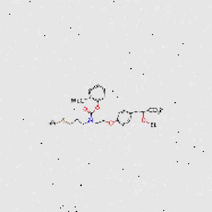 CCCSCCCN(CCOc1ccc(CC(OCC)C(=O)O)cc1)C(=O)Oc1ccccc1OC